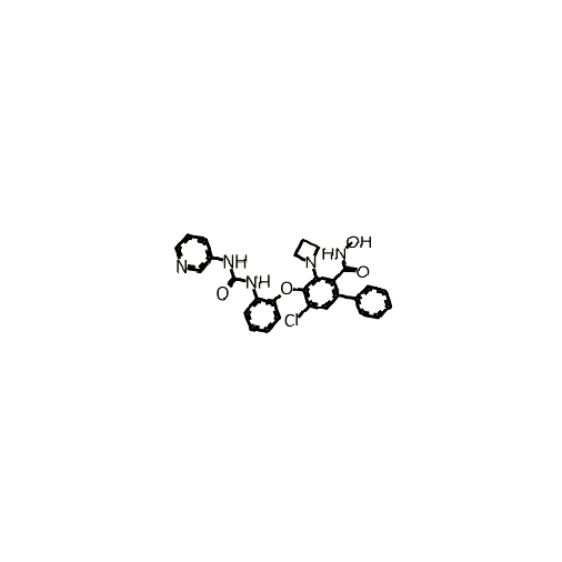 O=C(Nc1cccnc1)Nc1ccccc1Oc1c(Cl)cc(-c2ccccc2)c(C(=O)NO)c1N1CCC1